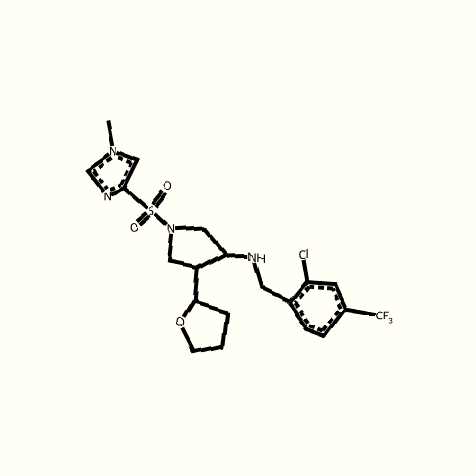 Cn1cnc(S(=O)(=O)N2CC(NCc3ccc(C(F)(F)F)cc3Cl)C(C3CCCO3)C2)c1